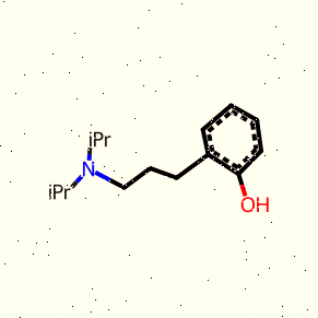 CC(C)N(CCCc1ccccc1O)C(C)C